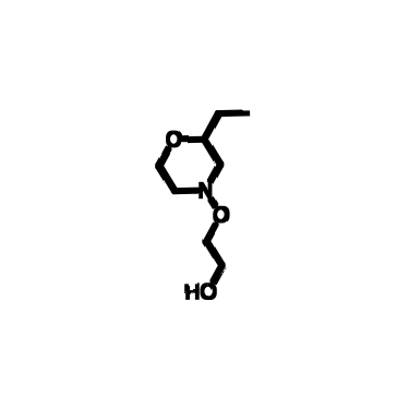 CCC1CN(OCCO)CCO1